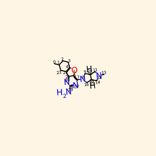 CC1CCc2oc3c(N4C[C@H]5CN(C)C[C@H]5C4)nc(N)nc3c2C1